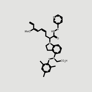 C=C/C(=C\C=C/CC(C(=O)NSc1cccnc1)N1CCc2c(N(CC(=O)O)Sc3c(C)cc(C)cc3C)cccc21)OC